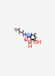 O=C(NCCCCI)c1cccc(O)c1O